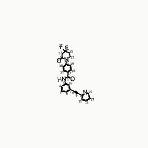 O=C(Nc1cccc(C#Cc2ccccn2)c1)c1ccc(N2CCC(F)(F)CC2=O)cc1